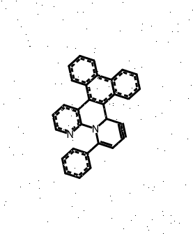 C1#CC2c3c(c4ccccc4c4ccccc34)-c3cccnc3N2C(c2ccccc2)=C1